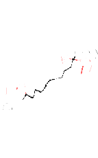 CCCCCCCCC(O)CCCCCCCC(O)(O)C(=O)O